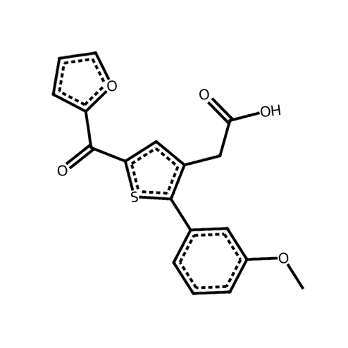 COc1cccc(-c2sc(C(=O)c3ccco3)cc2CC(=O)O)c1